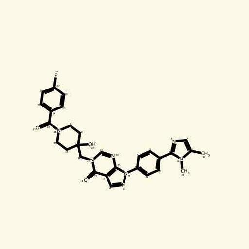 Cc1cnc(-c2ccc(-n3ncc4c(=O)n(CC5(O)CCN(C(=O)c6ccc(F)cc6)CC5)cnc43)cc2)n1C